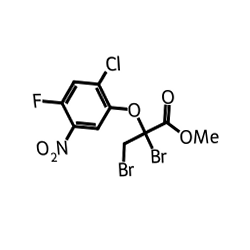 COC(=O)C(Br)(CBr)Oc1cc([N+](=O)[O-])c(F)cc1Cl